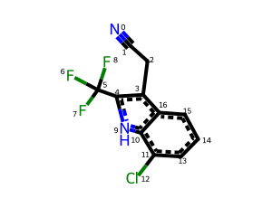 N#CCc1c(C(F)(F)F)[nH]c2c(Cl)cccc12